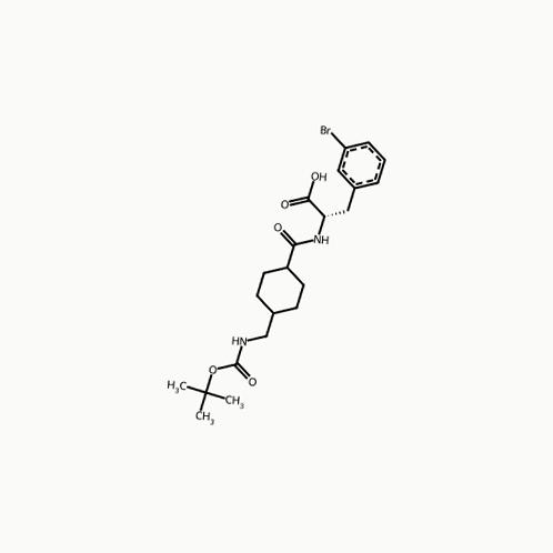 CC(C)(C)OC(=O)NCC1CCC(C(=O)N[C@@H](Cc2cccc(Br)c2)C(=O)O)CC1